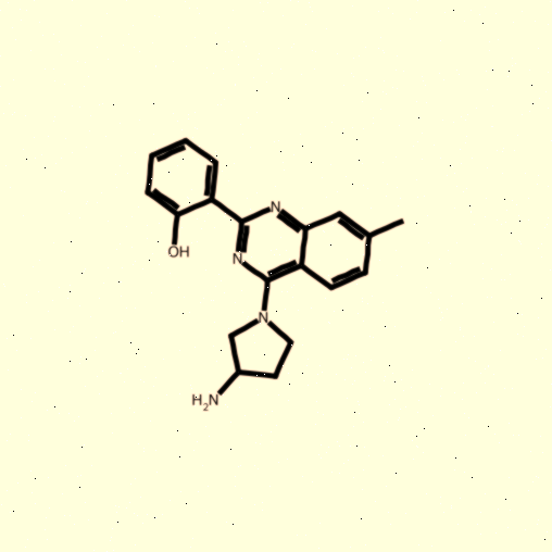 Cc1ccc2c(N3CCC(N)C3)nc(-c3ccccc3O)nc2c1